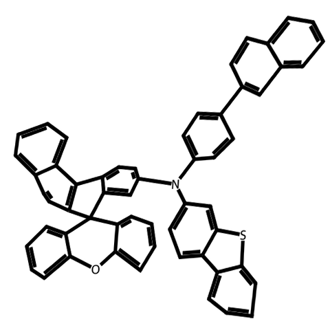 c1ccc2c(c1)Oc1ccccc1C21c2cc(N(c3ccc(-c4ccc5ccccc5c4)cc3)c3ccc4c(c3)sc3ccccc34)ccc2-c2c1ccc1ccccc21